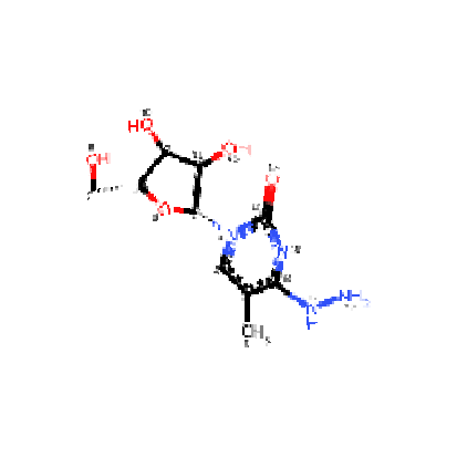 Cc1cn([C@@H]2O[C@H](CO)C(O)C2O)c(=O)nc1NN